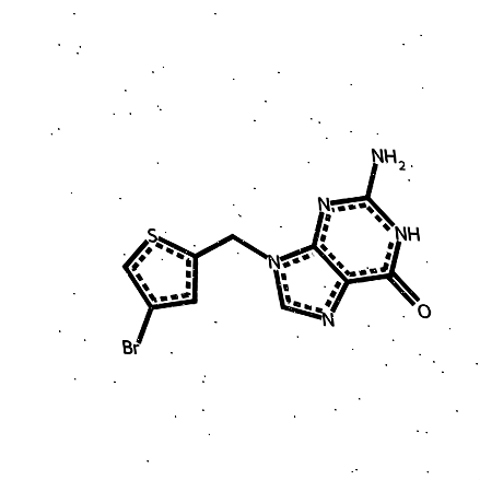 Nc1nc2c(ncn2Cc2cc(Br)cs2)c(=O)[nH]1